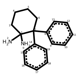 NC1(N)CCCCC1(c1ccccc1)c1ccccc1